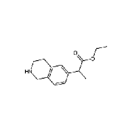 CCOC(=O)C(C)c1ccc2c(c1)CCNC2